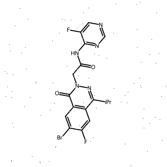 CC(C)c1nn(CC(=O)Nc2ncncc2F)c(=O)c2cc(Br)c(F)cc12